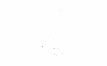 CCCC(c1ccc(C(=O)OCCOC)cc1)n1ccnc1